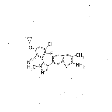 Cc1cc2ccc(-c3cnn(C)c3-c3c(F)c(Cl)cc(OC4CC4)c3C#N)cc2nc1N